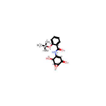 CC(C)(C)[Si](C)(C)Oc1ccccc1C(=O)NC1=CC(=O)C2OC2C1O